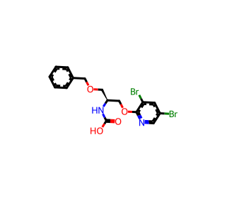 O=C(O)N[C@@H](COCc1ccccc1)COc1ncc(Br)cc1Br